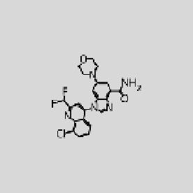 NC(=O)c1cc(N2CCOCC2)cc2c1ncn2-c1cc(C(F)F)nc2c(Cl)cccc12